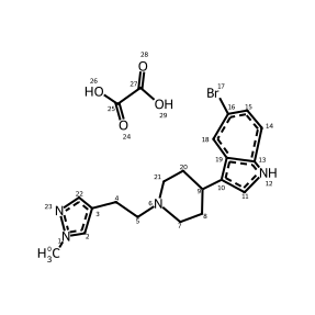 Cn1cc(CCN2CCC(c3c[nH]c4ccc(Br)cc34)CC2)cn1.O=C(O)C(=O)O